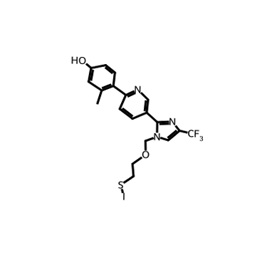 Cc1cc(O)ccc1-c1ccc(-c2nc(C(F)(F)F)cn2COCCSI)cn1